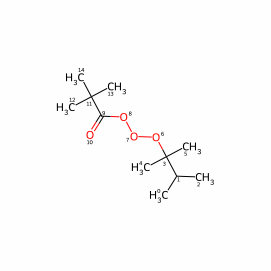 CC(C)C(C)(C)OOOC(=O)C(C)(C)C